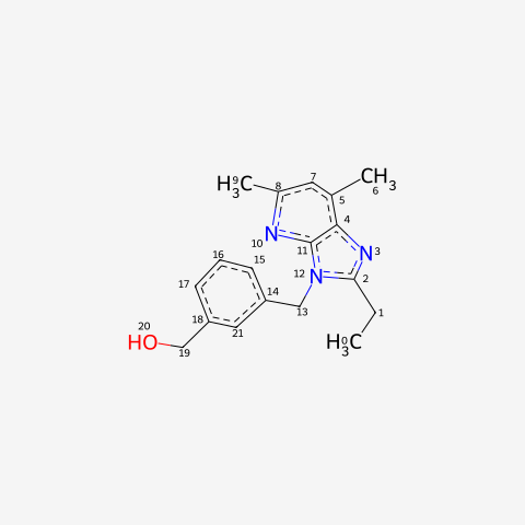 CCc1nc2c(C)cc(C)nc2n1Cc1cccc(CO)c1